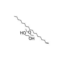 C=CCCCCCCCCCCCCCCCC.CCOCC.OCCO